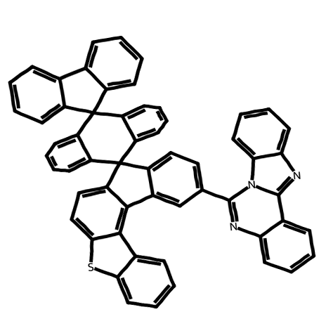 c1ccc2c(c1)-c1ccccc1C21c2ccccc2C2(c3ccc(-c4nc5ccccc5c5nc6ccccc6n45)cc3-c3c2ccc2sc4ccccc4c32)c2ccccc21